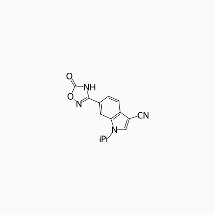 CC(C)n1cc(C#N)c2ccc(-c3noc(=O)[nH]3)cc21